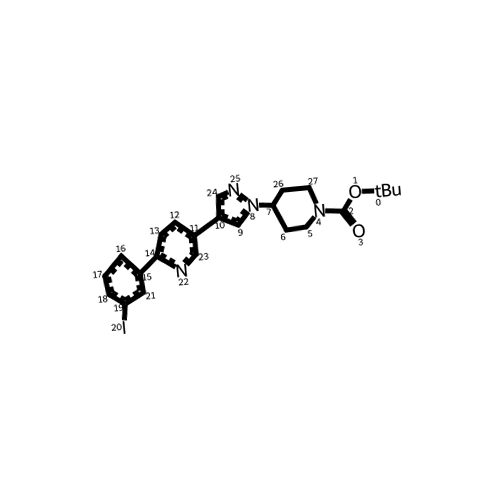 CC(C)(C)OC(=O)N1CCC(n2cc(-c3ccc(-c4cccc(I)c4)nc3)cn2)CC1